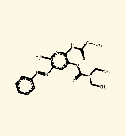 CCN(CC)C(=O)Oc1cc(/N=N/c2ccccc2)c(N)nc1NC(=O)OC